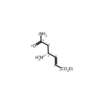 CCOC(=O)/C=C/[C@H](N)CC(N)=O